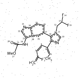 C=C(F)/C=C\C(=C/C)c1ncn(CC(F)F)c1-c1ccc2ncc(NC(=O)OC)n2n1